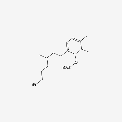 CCCCCCCCOC1C(CCC(C)CCCC(C)C)=CC=C(C)C1C